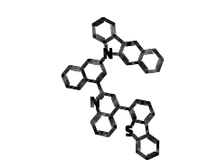 c1ccc2cc3c(cc2c1)c1ccccc1n3-c1cc(-c2cc(-c3cccc4c3sc3ccccc34)c3ccccc3n2)c2ccccc2c1